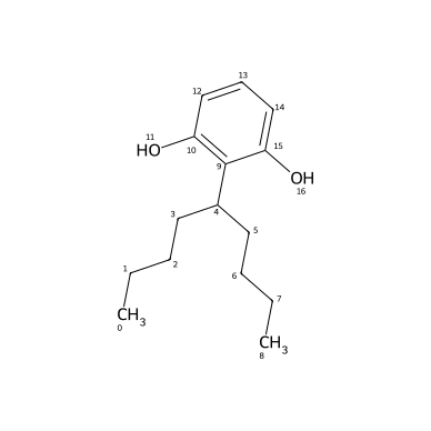 CCCCC(CCCC)c1c(O)cccc1O